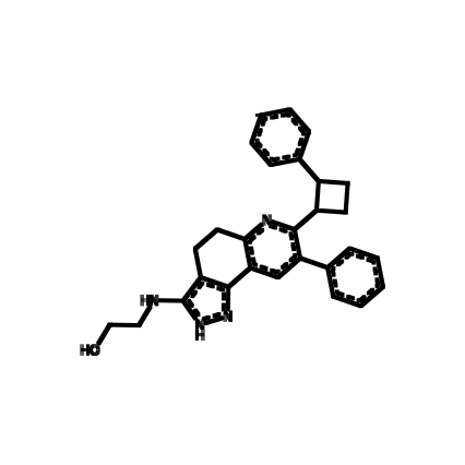 OCCNc1[nH]nc2c1CCc1nc(C3CCC3c3cc[c]cc3)c(-c3ccccc3)cc1-2